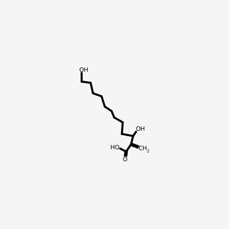 C=C(C(=O)O)C(O)CCCCCCCCCO